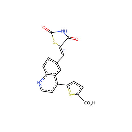 O=C1NC(=O)/C(=C/c2ccc3nccc(-c4ccc(C(=O)O)s4)c3c2)S1